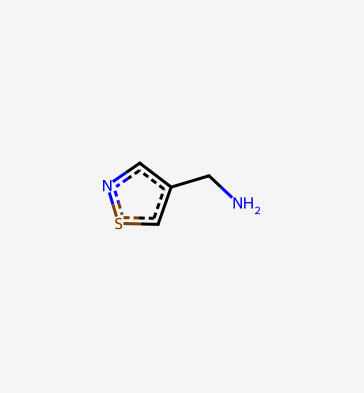 NCc1cnsc1